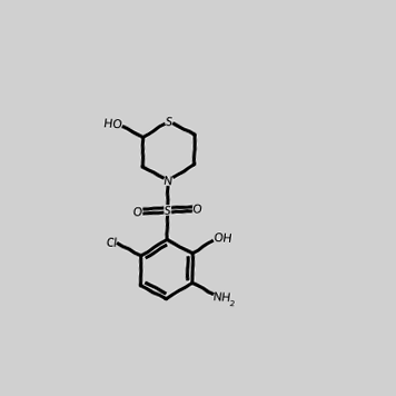 Nc1ccc(Cl)c(S(=O)(=O)N2CCSC(O)C2)c1O